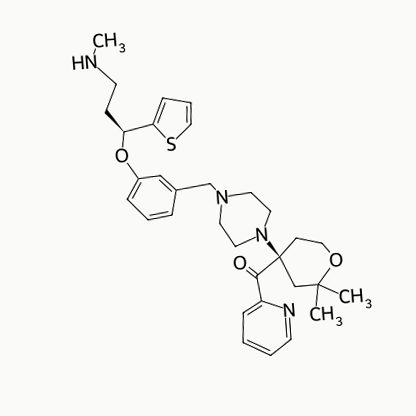 CNCC[C@H](Oc1cccc(CN2CCN([C@@]3(C(=O)c4ccccn4)CCOC(C)(C)C3)CC2)c1)c1cccs1